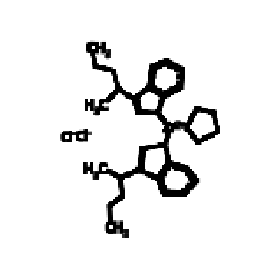 CCCC(C)C1=C[CH]([Zr+2](=[C]2CCCC2)[CH]2C=C(C(C)CCC)c3ccccc32)c2ccccc21.[Cl-].[Cl-]